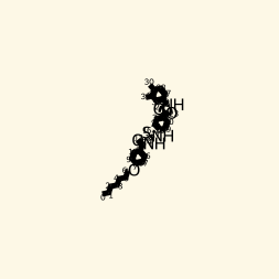 CCCCCCCOc1ccc(C(=O)NC(=S)Nc2ccc(S(=O)(=O)Nc3ccc(C)c(C)c3)cc2)cc1